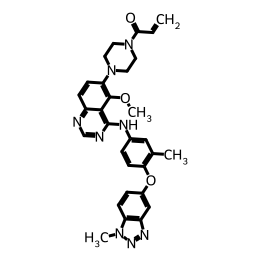 C=CC(=O)N1CCN(c2ccc3ncnc(Nc4ccc(Oc5ccc6c(c5)nnn6C)c(C)c4)c3c2OC)CC1